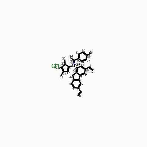 C=Cc1ccc2c(c1)-c1cc(C=C)c[c](/[Zr+2]([C]3=CC(C)=CC3C)=[C](/C)c3ccc(C)cc3)c1C2.[Cl-].[Cl-]